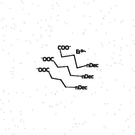 CCCCCCCCCCCCCC(=O)[O-].CCCCCCCCCCCCCC(=O)[O-].CCCCCCCCCCCCCC(=O)[O-].[Er+3]